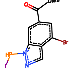 COC(=O)c1cc(Br)c2cnn(PI)c2c1